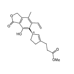 C=Cc1c(C)c2c(c(O)c1[C@H]1C=C(CCC(=O)OC)CC1)C(=O)OC2